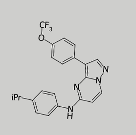 CC(C)c1ccc(Nc2ccn3ncc(-c4ccc(OC(F)(F)F)cc4)c3n2)cc1